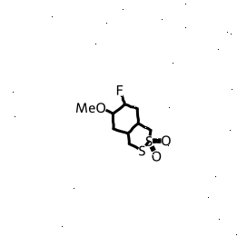 COC1CC2CSS(=O)(=O)CC2CC1F